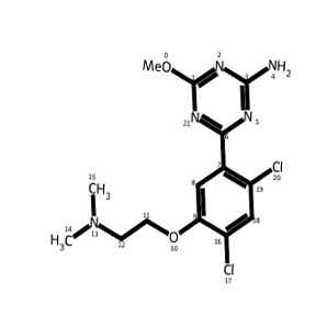 COc1nc(N)nc(-c2cc(OCCN(C)C)c(Cl)cc2Cl)n1